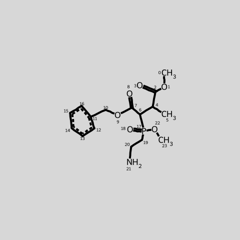 COC(=O)C(C)C(C(=O)OCc1ccccc1)P(=O)(CCN)OC